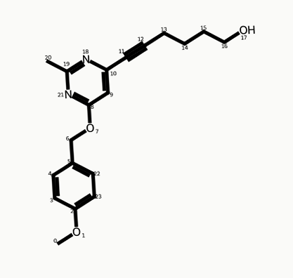 COc1ccc(COc2cc(C#CCCCCO)nc(C)n2)cc1